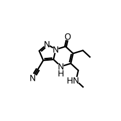 CCc1c(CNC)[nH]c2c(C#N)cnn2c1=O